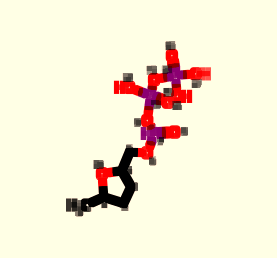 CC1CCC(CO[PH](=O)OP(=O)(O)OP(=O)(O)O)O1